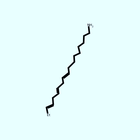 CC/C=C/C/C=C/C/C=C/CCCCCCCCN